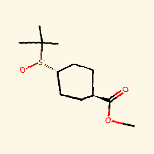 COC(=O)[C@H]1CC[C@H]([S+]([O-])C(C)(C)C)CC1